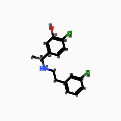 C[C@@H](NCCc1cccc(Cl)c1)c1ccc(Cl)c(Br)c1